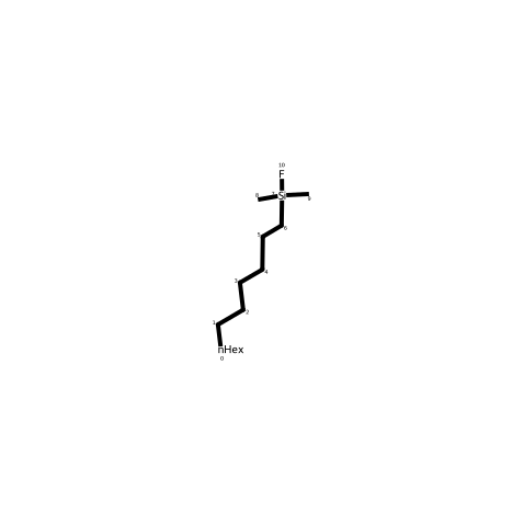 CCCCCCCCCCCC[Si](C)(C)F